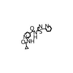 O=C(Nc1cnc(-c2ccccn2)s1)c1ccnc(NC(=O)C2CC2)c1